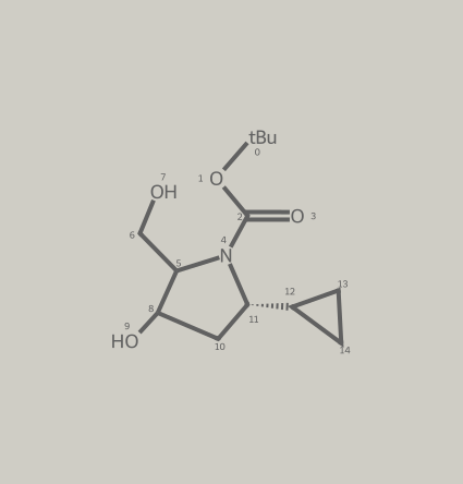 CC(C)(C)OC(=O)N1C(CO)C(O)C[C@H]1C1CC1